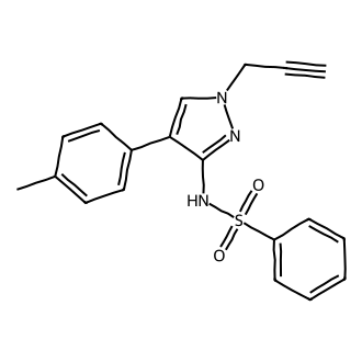 C#CCn1cc(-c2ccc(C)cc2)c(NS(=O)(=O)c2ccccc2)n1